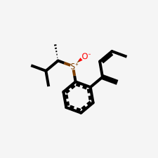 C=C(/C=C\C)c1ccccc1[S@+]([O-])[C@@H](C)C(C)C